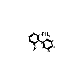 P.[Pd][c]1ccccc1-c1ccccc1